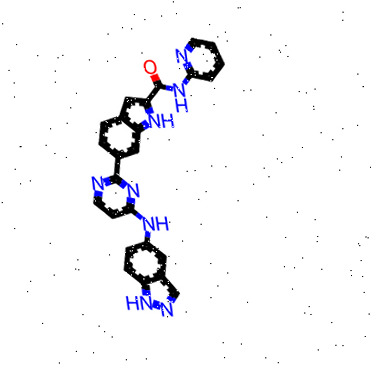 O=C(Nc1ccccn1)c1cc2ccc(-c3nccc(Nc4ccc5[nH]ncc5c4)n3)cc2[nH]1